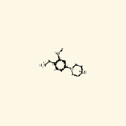 COc1cc(N2CCNCC2)ccc1CN